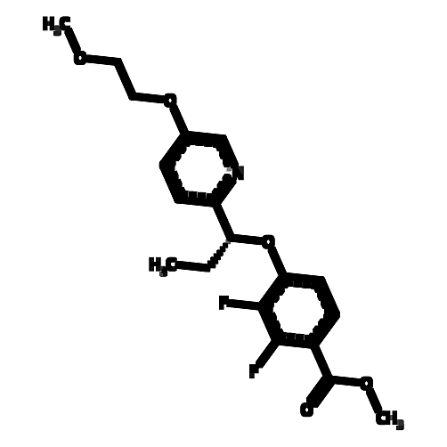 CC[C@@H](Oc1ccc(C(=O)OC)c(F)c1F)c1ccc(OCCOC)cn1